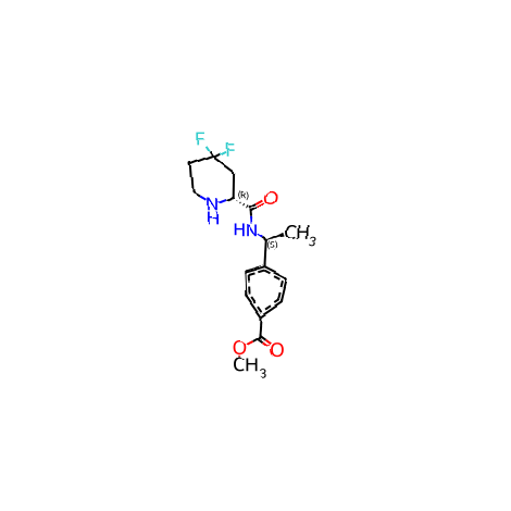 COC(=O)c1ccc([C@H](C)NC(=O)[C@H]2CC(F)(F)CCN2)cc1